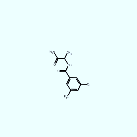 CC(NC(=O)c1cc(Cl)cc(C(F)(F)F)c1)C(N)=O